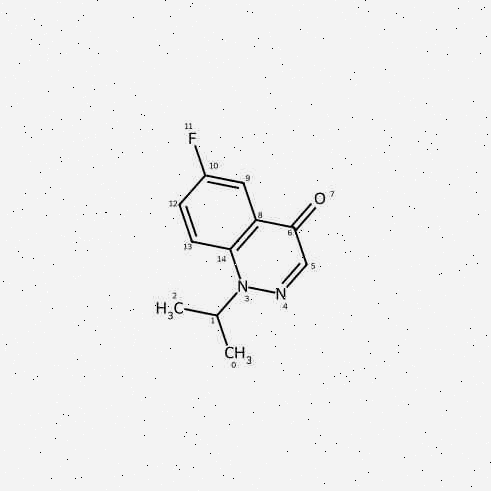 CC(C)n1ncc(=O)c2cc(F)ccc21